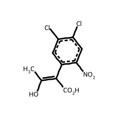 C/C(O)=C(/C(=O)O)c1cc(Cl)c(Cl)cc1[N+](=O)[O-]